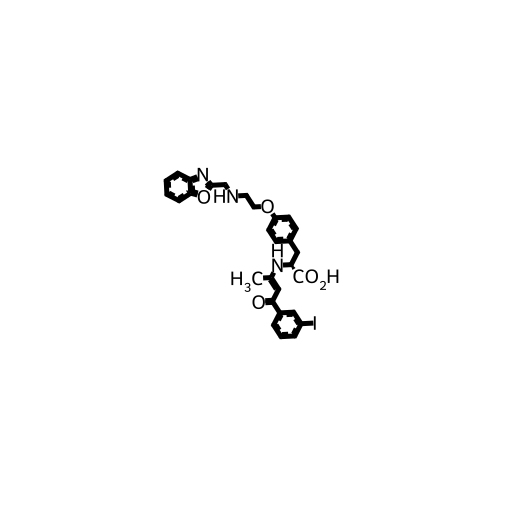 CC(=CC(=O)c1cccc(I)c1)N[C@@H](Cc1ccc(OCCNCc2nc3ccccc3o2)cc1)C(=O)O